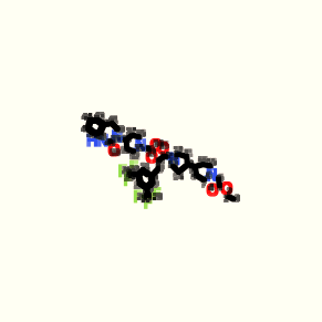 CCOC(=O)CN1CCC(C2CCN(C(=O)[C@@H](Cc3cc(C(F)(F)F)cc(C(F)(F)F)c3)OC(=O)N3CCC(N4CCc5ccccc5NC4=O)CC3)CC2)CC1